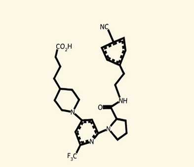 N#Cc1ccc(CCNC(=O)C2CCCN2c2cc(N3CCC(CCCC(=O)O)CC3)cc(C(F)(F)F)n2)cc1